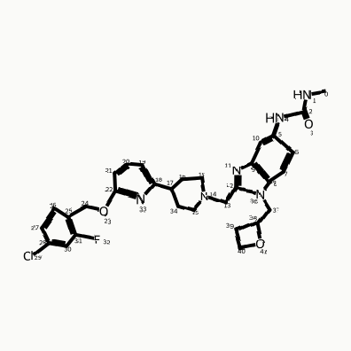 CNC(=O)Nc1ccc2c(c1)nc(CN1CCC(c3cccc(OCc4ccc(Cl)cc4F)n3)CC1)n2CC1CCO1